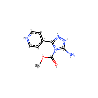 CC(C)(C)OC(=O)n1c(N)nnc1-c1ccncc1